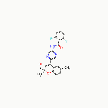 Cc1ccc2c(c1)C(c1cnc(NC(=O)c3c(F)cccc3F)cn1)=CC(C)(CO)O2